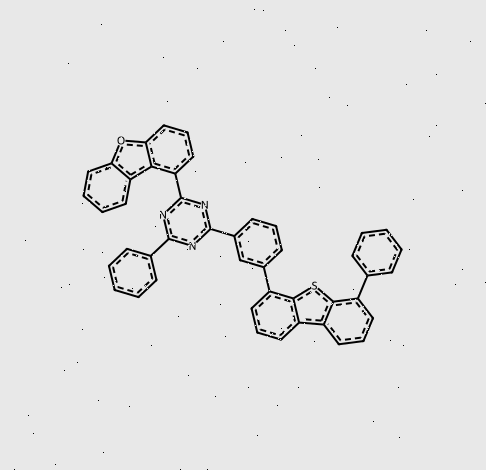 c1ccc(-c2nc(-c3cccc(-c4cccc5c4sc4c(-c6ccccc6)cccc45)c3)nc(-c3cccc4oc5ccccc5c34)n2)cc1